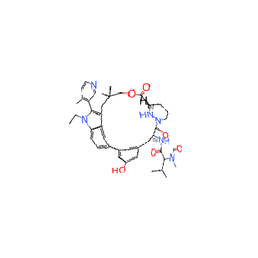 CCn1c(-c2cnccc2C)c2c3cc(ccc31)-c1cc(O)cc(c1)C[C@H](NC(=O)C(C(C)C)N(C)C=O)C(=O)N1CCC[C@H](N1)C(=O)OCC(C)(C)C2